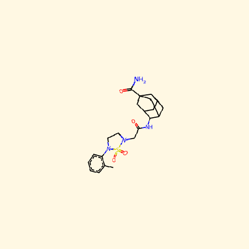 Cc1ccccc1N1CCN(CC(=O)NC2C3CC4CC2CC(C(N)=O)(C4)C3)S1(=O)=O